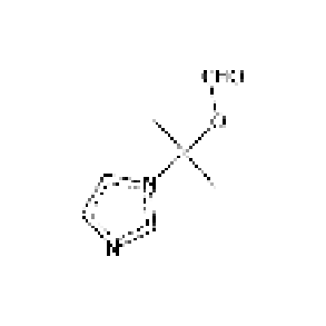 CC(C)(OC=O)n1ccnc1